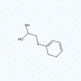 OC(O)CSC1=CC=CCC1